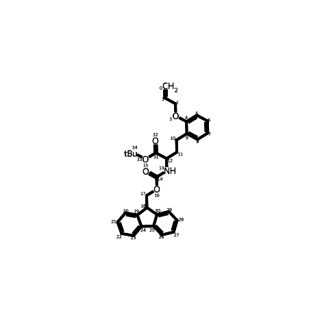 C=CCOc1ccccc1CCC(NC(=O)OCC1c2ccccc2-c2ccccc21)C(=O)OC(C)(C)C